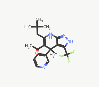 CC(=O)C1=C(CC(C)(C)C)Nc2n[nH]c(C(F)(F)F)c2C1(C)c1cccnc1